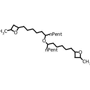 CCCCCC(CCCCCC1CC(C)O1)OC(CCCCC)CCCCCC1CC(C)O1